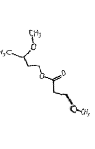 COCCC(=O)OCCC(C)OC